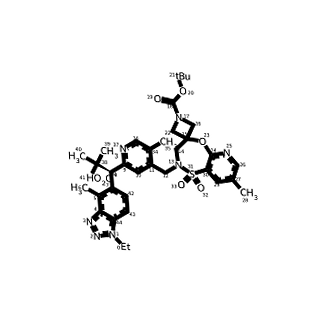 CCn1nnc2c(C)c([C@H](c3cc(CN4CC5(CN(C(=O)OC(C)(C)C)C5)Oc5ncc(C)cc5S4(=O)=O)c(C)cn3)C(C)(C)C(=O)O)ccc21